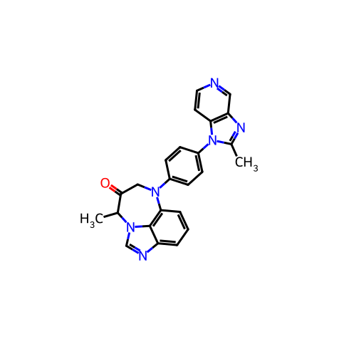 Cc1nc2cnccc2n1-c1ccc(N2CC(=O)C(C)n3cnc4cccc2c43)cc1